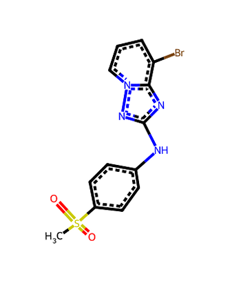 CS(=O)(=O)c1ccc(Nc2nc3c(Br)cccn3n2)cc1